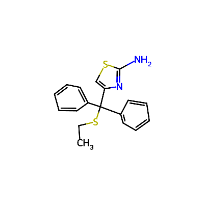 CCSC(c1ccccc1)(c1ccccc1)c1csc(N)n1